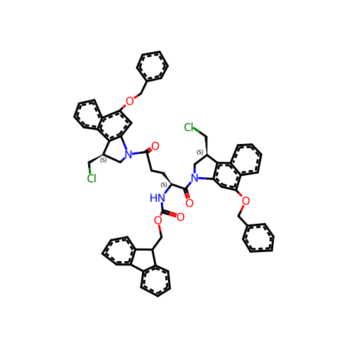 O=C(N[C@@H](CCC(=O)N1C[C@@H](CCl)c2c1cc(OCc1ccccc1)c1ccccc21)C(=O)N1C[C@@H](CCl)c2c1cc(OCc1ccccc1)c1ccccc21)OCC1c2ccccc2-c2ccccc21